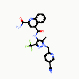 Cc1c(NC(=O)c2cc(C(N)=O)nc3ccccc23)c(C(F)(F)F)nn1Cc1ccc(C#N)cn1